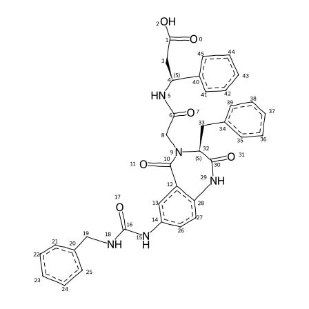 O=C(O)C[C@H](NC(=O)CN1C(=O)c2cc(NC(=O)NCc3ccccc3)ccc2NC(=O)[C@@H]1Cc1ccccc1)c1ccccc1